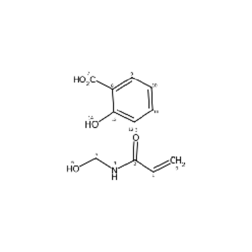 C=CC(=O)NCO.O=C(O)c1ccccc1O